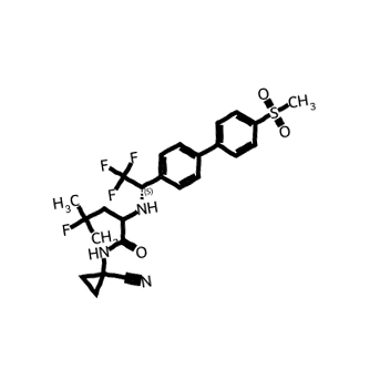 CC(C)(F)CC(N[C@@H](c1ccc(-c2ccc(S(C)(=O)=O)cc2)cc1)C(F)(F)F)C(=O)NC1(C#N)CC1